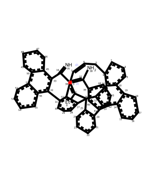 CCC1=C2/C=C\Cc3cccc4c3c3c(c5ccccc54)-c4ccccc4C13c1cccc(-c3c(C(=N)/N=C(\N)c4ccccc4)c4ccccc4c4ccccc34)c12